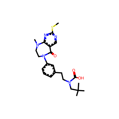 CSc1ncc2c(n1)N(C)CCN(c1cccc(CCN(CC(C)(C)C)C(=O)O)c1)C2=O